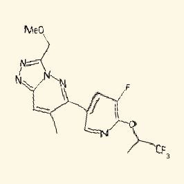 COCc1nnc2cc(C)c(-c3cnc(OC(C)C(F)(F)F)c(F)c3)nn12